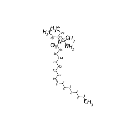 CCCCCCCC/C=C\CCCCCCCC(=O)N(C(C)N)C(CC)CC